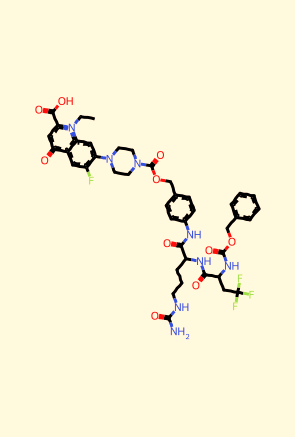 CCn1c(C(=O)O)cc(=O)c2cc(F)c(N3CCN(C(=O)OCc4ccc(NC(=O)C(CCCNC(N)=O)NC(=O)C(CC(F)(F)F)NC(=O)OCc5ccccc5)cc4)CC3)cc21